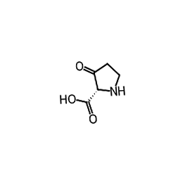 O=C(O)[C@H]1NCCC1=O